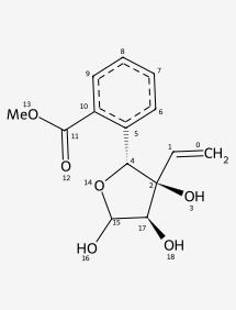 C=C[C@@]1(O)[C@@H](c2ccccc2C(=O)OC)OC(O)[C@@H]1O